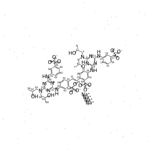 CC(O)CN(CC(C)O)c1nc(Nc2cccc(S(=O)(=O)[O-])c2)nc(Nc2ccc(C=Cc3ccc(Nc4nc(Nc5cccc(S(=O)(=O)[O-])c5)nc(N(CC(C)O)CC(C)O)n4)cc3S(=O)(=O)[O-])c(S(=O)(=O)[O-])c2)n1.[Na+].[Na+].[Na+].[Na+]